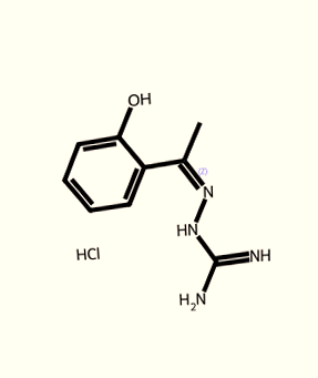 C/C(=N/NC(=N)N)c1ccccc1O.Cl